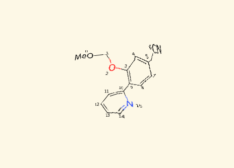 COCOc1cc(C#N)ccc1-c1ccccn1